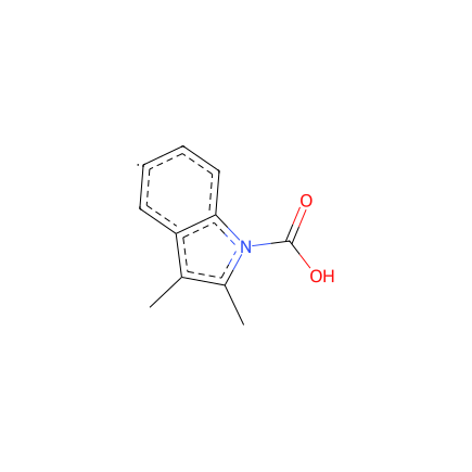 Cc1c(C)n(C(=O)O)c2cc[c]cc12